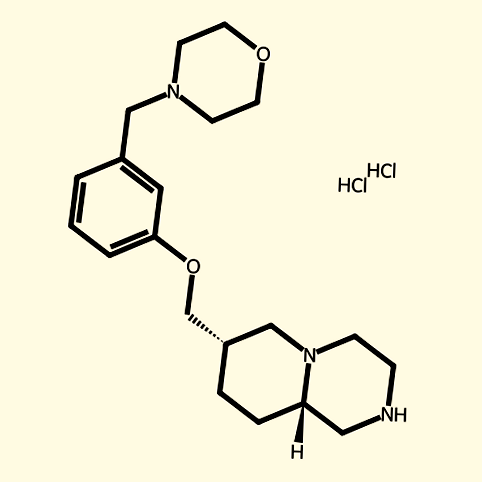 Cl.Cl.c1cc(CN2CCOCC2)cc(OC[C@H]2CC[C@H]3CNCCN3C2)c1